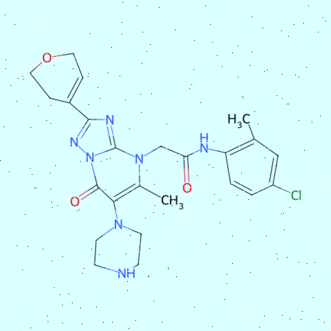 Cc1cc(Cl)ccc1NC(=O)Cn1c(C)c(N2CCNCC2)c(=O)n2nc(C3=CCOCC3)nc12